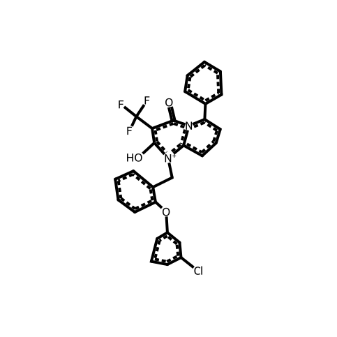 O=c1c(C(F)(F)F)c(O)[n+](Cc2ccccc2Oc2cccc(Cl)c2)c2cccc(-c3ccccc3)n12